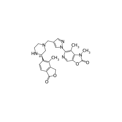 Cc1c([C@@H]2CN(Cc3cnn(-c4ncc5oc(=O)n(C)c5c4C)c3)CCN2)ccc2c1COC2=O